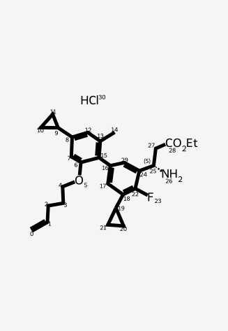 C=CCCCOc1cc(C2CC2)cc(C)c1-c1cc(C2CC2)c(F)c([C@@H](N)CC(=O)OCC)c1.Cl